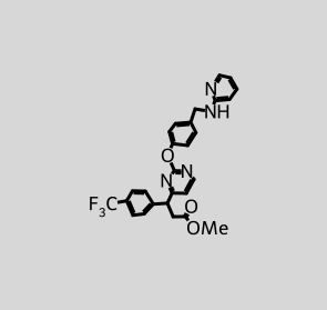 COC(=O)CC(c1ccc(C(F)(F)F)cc1)c1ccnc(Oc2ccc(CNc3ccccn3)cc2)n1